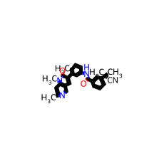 Cc1cc2c(cn1)cc(-c1cc(NC(=O)c3cccc(C(C)(C)C#N)c3)ccc1C)c(=O)n2C